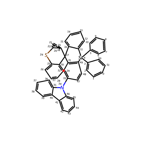 c1ccc([Si]2(c3ccccc3)c3ccccc3C3(c4ccccc4Sc4ccccc43)c3cc(-n4c5ccccc5c5ccccc54)ccc32)cc1